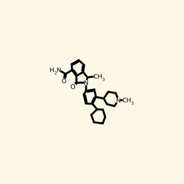 CC1c2cccc(C(N)=O)c2C(=O)N1c1ccc(C2CCCCC2)c(C2CCN(C)CC2)c1